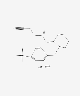 C#CCOS(=O)OC1CCCCC1Oc1ccc(C(C)(C)C)cc1.S=C=S